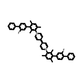 Cc1cc(C)c(N2C=CC(=C3C=CN(c4c(C)cc(C)c(-c5ccc(-c6ccccc6)c(F)c5)c4C)C=C3)C=C2)c(C)c1-c1ccc(-c2ccccc2)c(F)c1